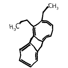 CCc1ccc2c(c1CC)-c1ccccc1-2